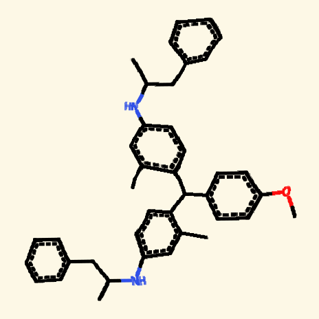 COc1ccc(C(c2ccc(NC(C)Cc3ccccc3)cc2C)c2ccc(NC(C)Cc3ccccc3)cc2C)cc1